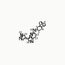 CN(c1ccc2c(c1)OCO2)c1ccc2ncc(-c3cnn(C)c3)n2n1